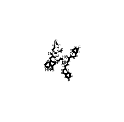 C=CCN1C[C@H](C(=O)N(CCCN(C)C)C(=O)NCC)C[C@@H]2c3cccc4[nH]cc(c34)C[C@H]21.OC(CNCC(O)C1CCc2cc(F)ccc2O1)C1CCc2cc(F)ccc2O1